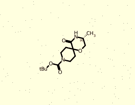 C[C@@H]1COC2(CCN(C(=O)OC(C)(C)C)CC2)C(=O)N1